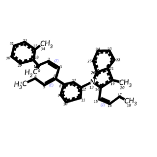 C=C(/C=C\C(=C/CC)c1cccc(-n2c(/C=C\CC)c(C)c3ccccc32)c1)c1ccccc1C